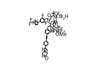 COC(=O)NC(C(=O)NC(Cc1ccc(C#Cc2ccc(-c3cn4c(n3)CN(C)C(=O)C4)cc2)cc1)C(O)CN(CC(=O)C(NC(=O)O)C(C)(C)C(F)(F)F)Cc1c(F)cc(-c2ccn(C(F)F)n2)cc1F)C(C)(C)C(F)(F)F